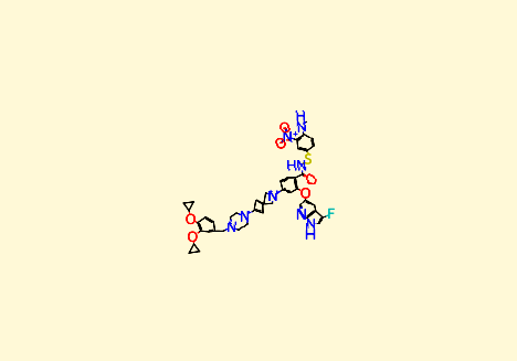 CNc1ccc(SNC(=O)c2ccc(N3CC4(CC(N5CCN(Cc6ccc(OC7CC7)c(OC7CC7)c6)CC5)C4)C3)cc2Oc2cnc3[nH]cc(F)c3c2)cc1[N+](=O)[O-]